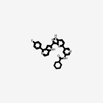 O=C(Nc1cncc(-c2ccc3[nH]nc(-c4cc5c(-c6ccc(F)cc6)nccc5[nH]4)c3n2)c1)C1CCCCC1